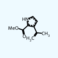 C=C(C)c1cc[nH]c1C(=O)OC